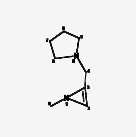 CN1C=C1CN1CCCC1